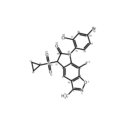 Cc1noc2c(F)c3c(cc12)C(S(=O)(=O)C1CC1)C(=O)N3c1ccc(Br)cc1Cl